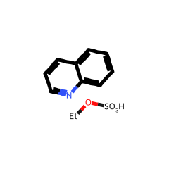 CCOS(=O)(=O)O.c1ccc2ncccc2c1